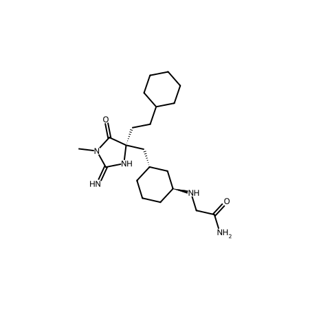 CN1C(=N)N[C@](CCC2CCCCC2)(C[C@H]2CCC[C@H](NCC(N)=O)C2)C1=O